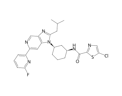 CC(C)Cc1nc2cnc(-c3cccc(F)n3)cc2n1[C@@H]1CCC[C@H](NC(=O)c2ncc(Cl)s2)C1